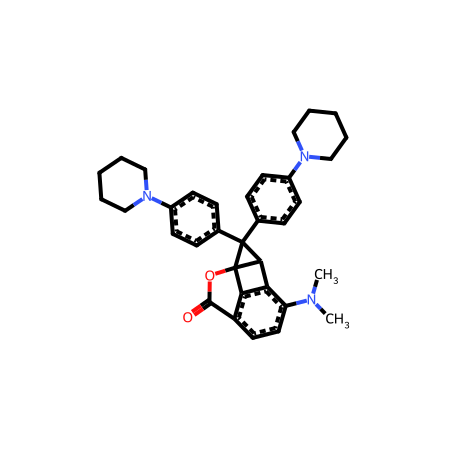 CN(C)c1ccc2c3c1C1C3(OC2=O)C1(c1ccc(N2CCCCC2)cc1)c1ccc(N2CCCCC2)cc1